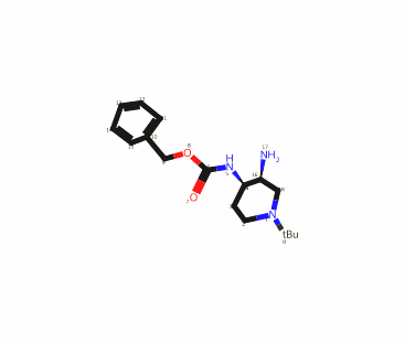 CC(C)(C)N1CC[C@@H](NC(=O)OCc2ccccc2)[C@@H](N)C1